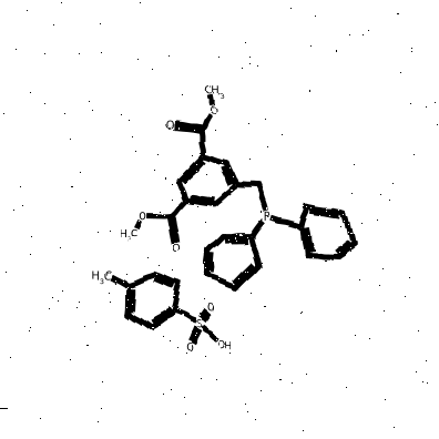 COC(=O)c1cc(CP(c2ccccc2)c2ccccc2)cc(C(=O)OC)c1.Cc1ccc(S(=O)(=O)O)cc1